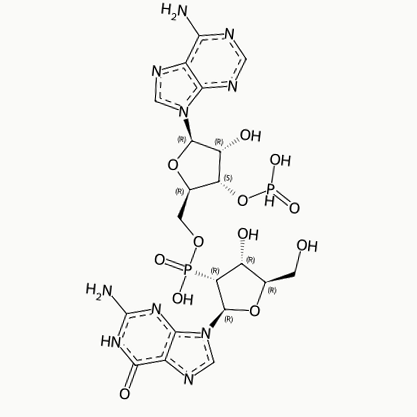 Nc1nc2c(ncn2[C@@H]2O[C@H](CO)[C@@H](O)[C@H]2P(=O)(O)OC[C@H]2O[C@@H](n3cnc4c(N)ncnc43)[C@H](O)[C@@H]2O[PH](=O)O)c(=O)[nH]1